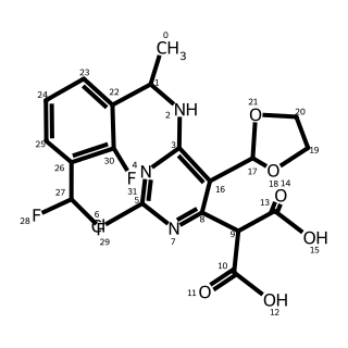 CC(Nc1nc(Cl)nc(C(C(=O)O)C(=O)O)c1C1OCCO1)c1cccc(C(F)F)c1F